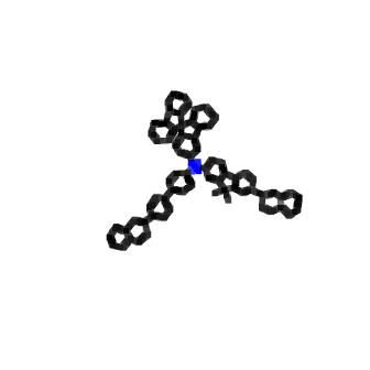 CC1(C)c2cc(-c3ccc4ccccc4c3)ccc2-c2ccc(N(c3ccc(-c4ccc(-c5ccc6ccccc6c5)cc4)cc3)c3ccc4c(c3)-c3ccccc3C43c4ccccc4-c4ccccc43)cc21